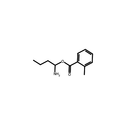 CCCC(N)OC(=O)c1ccccc1C